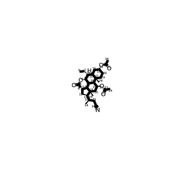 CC[C@H]1[C@@H](OC(C)=O)C2C3CC[C@H]([C@H](C)CC#N)[C@@]3(C)C[C@H](OC(C)=O)C2[C@@]2(C)CC[C@@H](OC(C)=O)C[C@@H]12